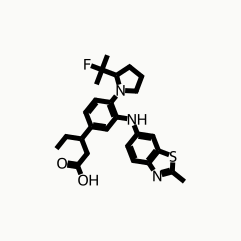 CCC(CC(=O)O)c1ccc(N2CCCC2C(C)(C)F)c(Nc2ccc3nc(C)sc3c2)c1